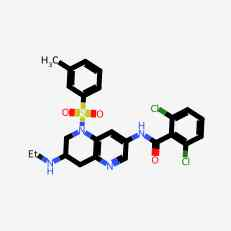 CCNC1Cc2ncc(NC(=O)c3c(Cl)cccc3Cl)cc2N(S(=O)(=O)c2cccc(C)c2)C1